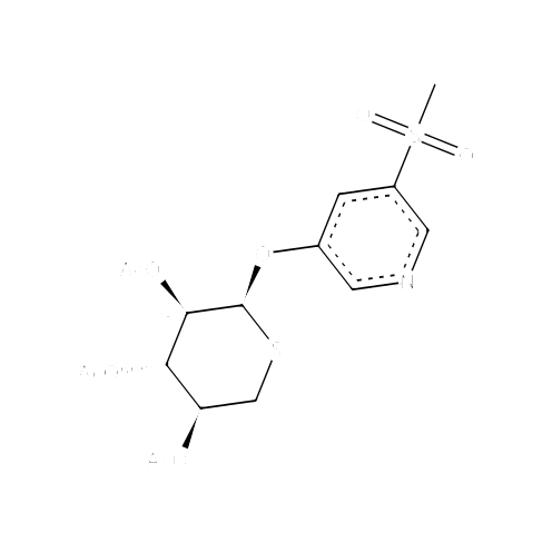 CC(=O)O[C@@H]1[C@@H](OC(C)=O)[C@@H](Oc2cncc(S(C)(=O)=O)c2)SC[C@H]1OC(C)=O